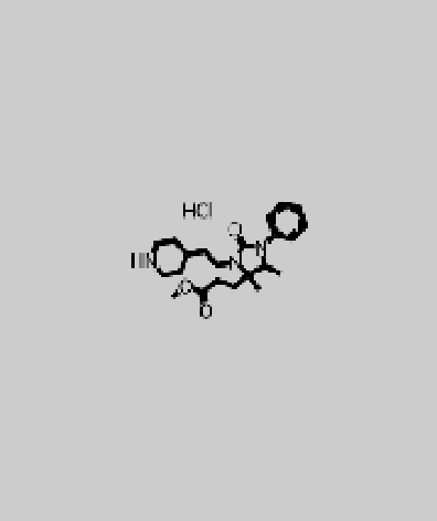 COC(=O)CCC1(C)C(C)N(c2ccccc2)C(=O)N1CCC1CCNCC1.Cl